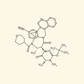 C[C@@H](C(=O)N[C@@H]1C(=O)N(Cc2c(C3CC3)cnc3ccccc23)c2ccc(C#N)cc2N(C(=O)C2CCOCC2)[C@H]1C)N(C)C(=O)OC(C)(C)C